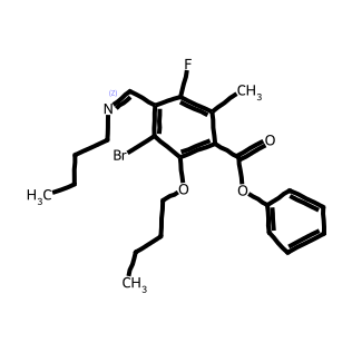 CCCC/N=C\c1c(F)c(C)c(C(=O)Oc2ccccc2)c(OCCCC)c1Br